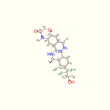 Cc1nnc(N[C@H](C)c2cccc(C(F)(F)C(C)(C)O)c2F)c2cc3c(cc12)OCC(=O)N3C